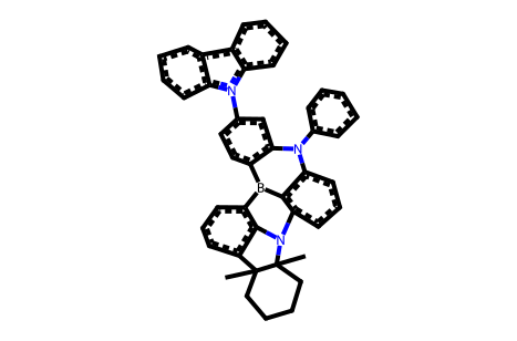 CC12CCCCC1(C)N1c3cccc4c3B(c3ccc(-n5c6ccccc6c6ccccc65)cc3N4c3ccccc3)c3cccc2c31